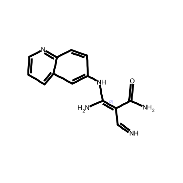 N=C/C(C(N)=O)=C(\N)Nc1ccc2ncccc2c1